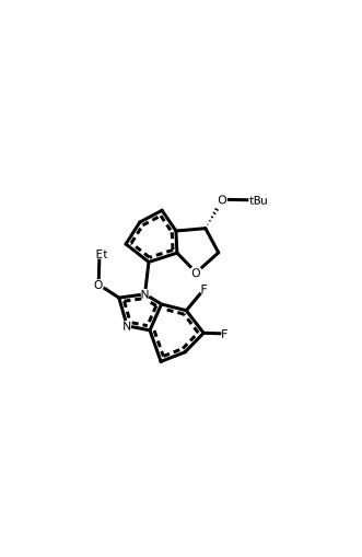 CCOc1nc2ccc(F)c(F)c2n1-c1cccc2c1OC[C@H]2OC(C)(C)C